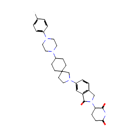 O=C1CCC(N2Cc3ccc(N4CCC5(CCC(N6CCN(c7ccc([N+](=O)[O-])cc7)CC6)CC5)C4)cc3C2=O)C(=O)N1